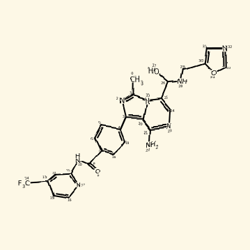 Cc1nc(-c2ccc(C(=O)Nc3cc(C(F)(F)F)ccn3)cc2)c2c(N)ncc(C(O)NCc3cnco3)n12